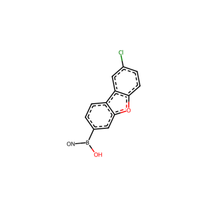 O=NB(O)c1ccc2c(c1)oc1ccc(Cl)cc12